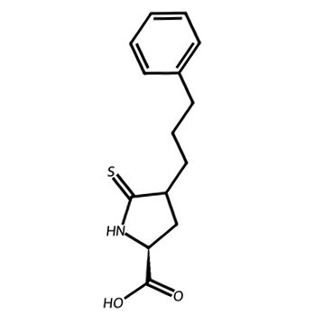 O=C(O)[C@@H]1CC(CCCc2ccccc2)C(=S)N1